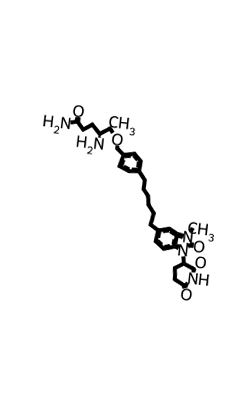 C[C@@H](OCc1ccc(CCCCCCc2ccc3c(c2)n(C)c(=O)n3C2CCC(=O)NC2=O)cc1)[C@@H](N)CCC(N)=O